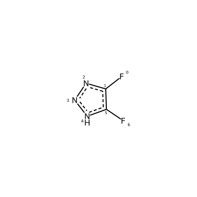 Fc1nn[nH]c1F